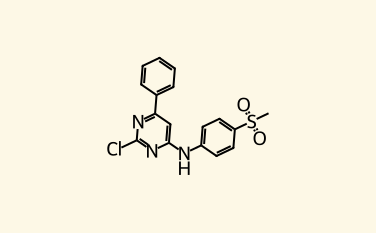 CS(=O)(=O)c1ccc(Nc2cc(-c3ccccc3)nc(Cl)n2)cc1